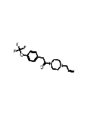 C=CCN1CCN(C(=O)Cc2ccc(OC(F)(F)F)cc2)CC1